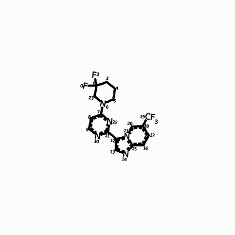 FC1(F)CCCN(c2ccnc(-c3cnc4ccc(C(F)(F)F)cn34)n2)C1